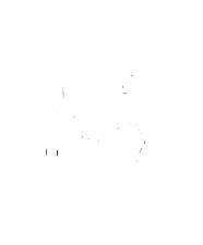 CCCC(C)CN(CC1CCC1)CC1CCC1